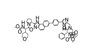 COC(=O)N[C@H](C(=O)N1CCC[C@H]1c1nc2ccc3cc(-c4ccc(-c5cnc(CN(CC6(C)OCCO6)C(=O)[C@H](NC(=O)OC)c6ccccc6)[nH]5)cc4)ccc3c2[nH]1)C1CCOCC1